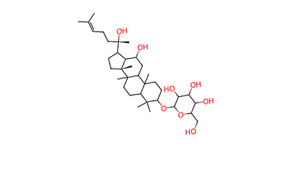 CC(C)=CCC[C@](C)(O)C1CC[C@]2(C)C1C(O)CC1C3(C)CCC(OC4OC(CO)C(O)C(O)C4O)C(C)(C)C3CCC12C